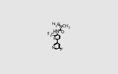 CN(C)C(=O)Nc1ccc(-c2cncc(F)c2)nc1C(F)(F)F